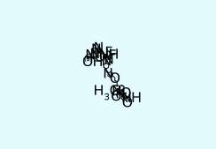 Cn1c(=O)n(C2CCC(=O)NC2=O)c2cccc(CCCOC3CCN(C[C@H]4CC[C@H](n5cc(NC(=O)c6cnn7ccc(N8CC[C@H](O)C8)nc67)c(C(F)F)n5)CC4)CC3)c21